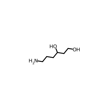 NCCCC(O)CCO